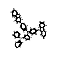 c1ccc(N(c2ccccc2)c2cccc(N(c3ccc(-c4ccc5c(c4)sc4ccccc45)cc3)c3ccc(-n4c5ccccc5c5ccccc54)cc3)c2)cc1